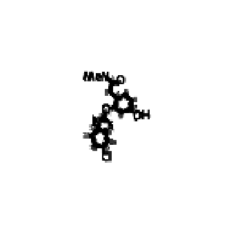 CNC(=O)Cc1ccc(O)cc1Oc1nc2ccc(Cl)cc2s1